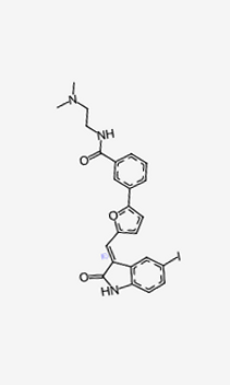 CN(C)CCNC(=O)c1cccc(-c2ccc(/C=C3/C(=O)Nc4ccc(I)cc43)o2)c1